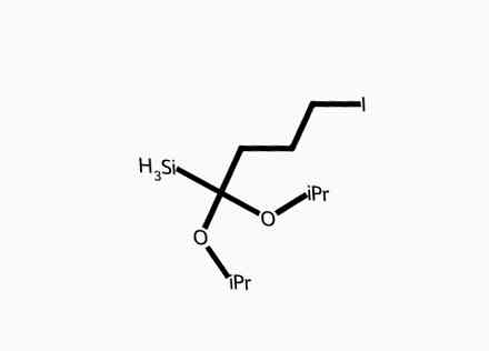 CC(C)OC([SiH3])(CCCI)OC(C)C